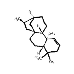 C[C@@H]1C[C@]23CC[C@H]4C(C)(C)CC=C[C@]4(C)[C@H]2CC[C@H]1C3